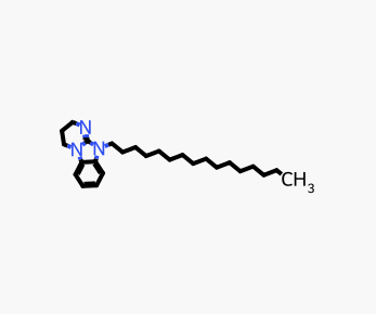 CCCCCCCCCCCCCCCCN1C2=NCCCN2c2ccccc21